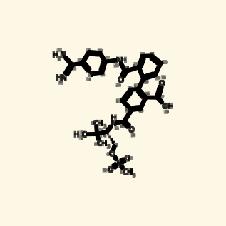 CC(C)(C)[C@@H](COS(C)(=O)=O)NC(=O)c1ccc(-c2ccccc2C(=O)Nc2ccc(C(=N)N)nc2)c(C(=O)O)c1